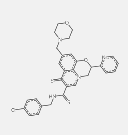 S=C(NCc1ccc(Cl)cc1)c1cn2c3c(cc(CN4CCOCC4)cc3c1=S)OC(c1ccccn1)C2